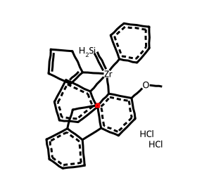 COc1ccc2c([c]1[Zr](=[SiH2])([C]1=CC=CC1)([c]1ccccc1)[c]1ccccc1)Cc1ccccc1-2.Cl.Cl